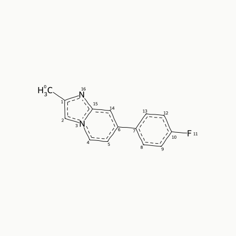 Cc1cn2ccc(-c3ccc(F)cc3)cc2n1